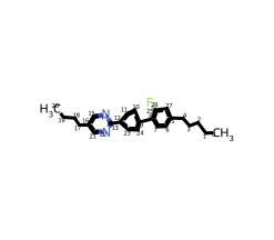 CCCCCc1ccc(-c2ccc(-c3ncc(CCCC)cn3)cc2)c(F)c1